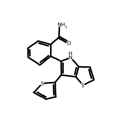 NC(=O)c1ccccc1-c1[nH]c2ccsc2c1-c1cccs1